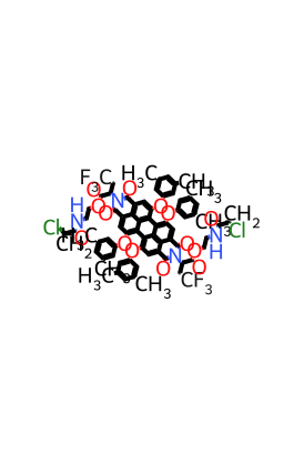 C=C(Cl)C(=O)NCCOC(=O)C(CC(F)(F)F)N1C(=O)c2cc(Oc3cc(C)cc(C)c3)c3c4c(Oc5cc(C)cc(C)c5)cc5c6c(cc(Oc7cc(C)cc(C)c7)c(c7c(Oc8cc(C)cc(C)c8)cc(c2c37)C1=O)c64)C(=O)N(C(CC(F)(F)F)C(=O)OCCNC(=O)C(=C)Cl)C5=O